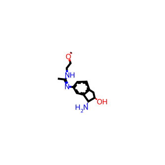 COCCNC(C)=Nc1ccc2c(c1)[C@@H](N)[C@H](O)C2